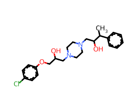 CC(c1ccccc1)C(O)CN1CCN(CC(O)COc2ccc(Cl)cc2)CC1